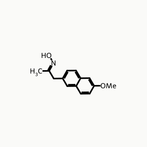 COc1ccc2cc(CC(C)=NO)ccc2c1